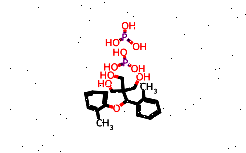 Cc1ccccc1OC(c1ccccc1C)C(CO)(CO)CO.OP(O)O.OP(O)O